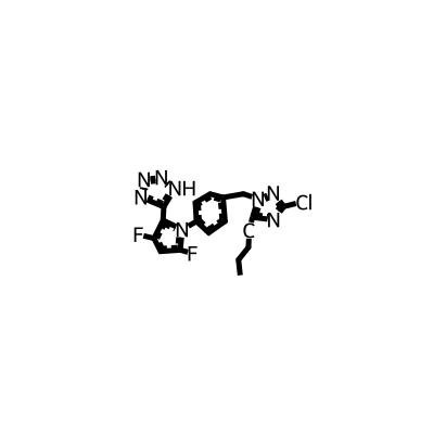 CCCCc1nc(Cl)nn1Cc1ccc(-n2c(F)cc(F)c2-c2nnn[nH]2)cc1